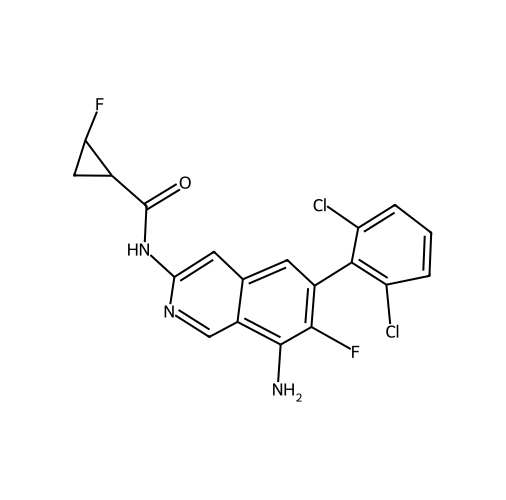 Nc1c(F)c(-c2c(Cl)cccc2Cl)cc2cc(NC(=O)C3CC3F)ncc12